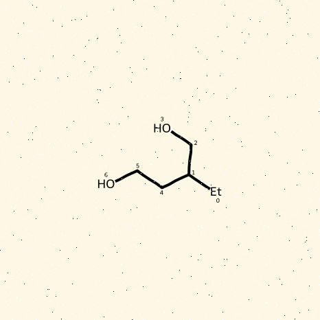 CCC(CO)CCO